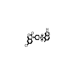 CC1=C(S(=O)(=O)N2CCC(N3C(=O)OC=C4C=C(Cl)C=CC43)CC2)C2=CNSN2C=C1